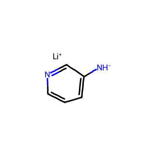 [Li+].[NH-]c1cccnc1